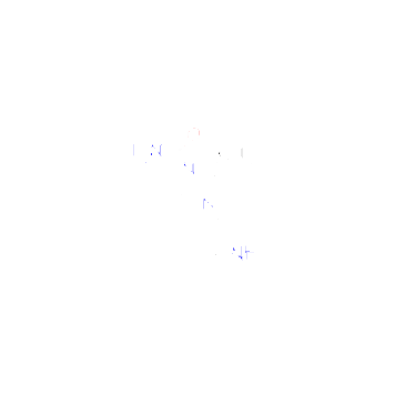 CC1CN(C2CCNCC2)CCN1C(N)=O